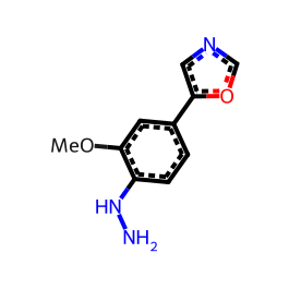 COc1cc(-c2cnco2)ccc1NN